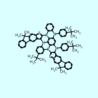 CC(C)(C)c1ccc(N2c3ccccc3B3c4sc5cc6c(cc5c4N4c5ccc(C(C)(C)C)cc5B5c7sc8cc9c(cc8c7N(c7ccc(C(C)(C)C)cc7)c7cc2c3c4c75)-c2ccccc2C9(C)C)-c2ccccc2C6(C)C)cc1